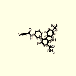 CC#CC(=O)N[C@@H]1CCCN(c2c(F)cc(C(N)=O)c3[nH]c4cc(C(F)(F)F)ccc4c23)C1